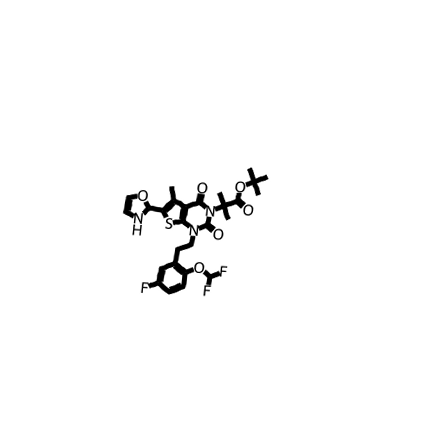 Cc1c(C2NC=CO2)sc2c1c(=O)n(C(C)(C)C(=O)OC(C)(C)C)c(=O)n2CCc1cc(F)ccc1OC(F)F